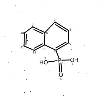 O=P(O)(O)c1cccc2ccccc12